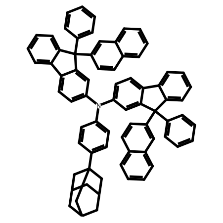 c1ccc(C2(c3ccc4ccccc4c3)c3ccccc3-c3ccc(N(c4ccc(C56CC7CC(CC(C7)C5)C6)cc4)c4ccc5c(c4)C(c4ccccc4)(c4ccc6ccccc6c4)c4ccccc4-5)cc32)cc1